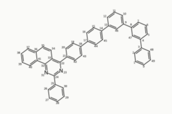 c1ccc(-c2cccc(-c3cccc(-c4ccc(-c5ccc(-c6nc(-c7ccccc7)nc7c6ccc6ccccc67)cc5)cc4)c3)c2)cc1